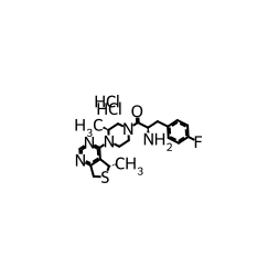 C[C@@H]1SCc2ncnc(N3CCN(C(=O)[C@H](N)Cc4ccc(F)cc4)C[C@@H]3C)c21.Cl.Cl